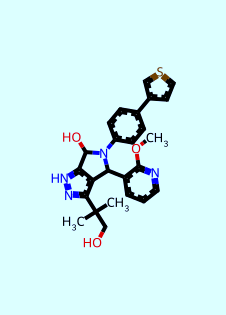 COc1ncccc1C1c2c(C(C)(C)CO)n[nH]c2C(O)N1c1ccc(-c2ccsc2)cc1